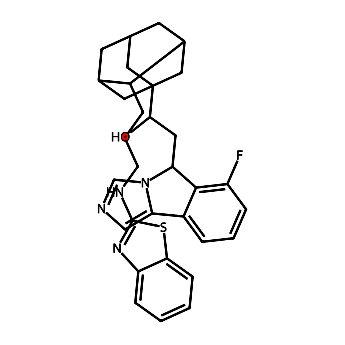 OC(CC1c2c(F)cccc2-c2cncn21)C12CC3CC(C1)C(CCCNc1nc4ccccc4s1)C(C3)C2